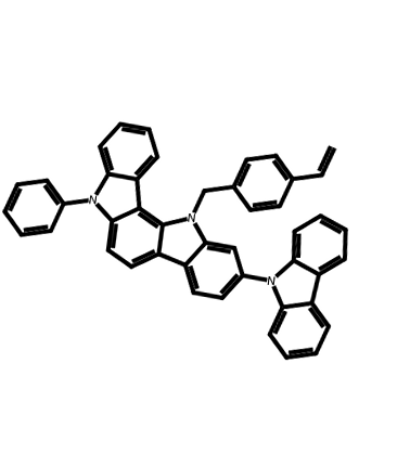 C=Cc1ccc(Cn2c3cc(-n4c5ccccc5c5ccccc54)ccc3c3ccc4c(c5ccccc5n4-c4ccccc4)c32)cc1